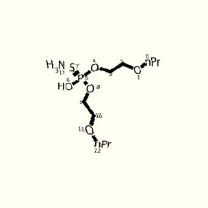 CCCOCCOP(O)(=S)OCCOCCC.N